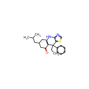 CCC1(c2ccccc2)C2=C(CC(CC(C)C)CC2=O)Nc2ncsc21